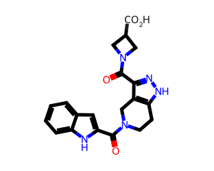 O=C(O)C1CN(C(=O)c2n[nH]c3c2CN(C(=O)c2cc4ccccc4[nH]2)CC3)C1